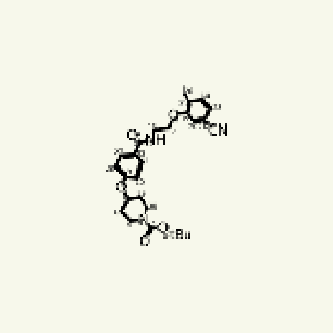 CC(C)(C)OC(=O)N1CCC(Oc2ccc(C(=O)NCCOc3cc(C#N)ccc3I)cc2)CC1